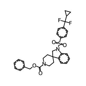 O=C(OCc1ccccc1)N1CCC2(CC1)CN(S(=O)(=O)c1ccc(C(F)(F)C3CC3)cc1)c1ccccc12